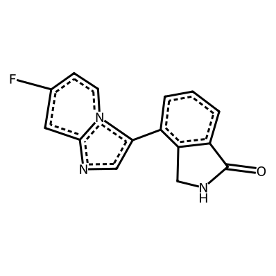 O=C1NCc2c1cccc2-c1cnc2cc(F)ccn12